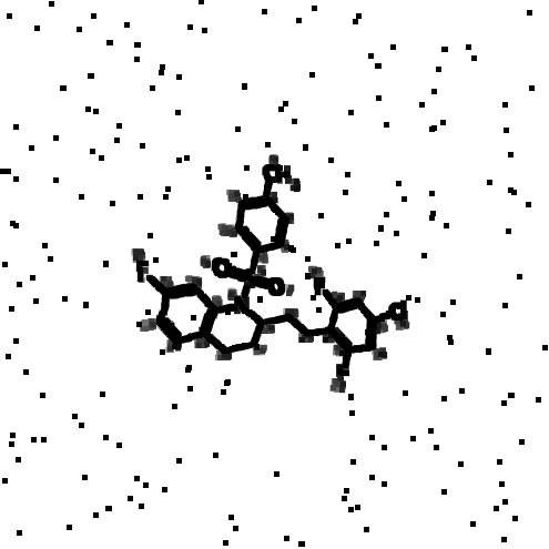 Cc1ccc(S(=O)(=O)N2c3cc(F)ccc3CCC2CCc2c(F)cc(Cl)cc2F)cc1